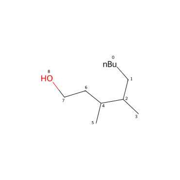 CCCCCC(C)C(C)CCO